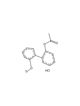 CC(=O)Oc1ccccc1-c1ccccc1[O][Ti].Cl